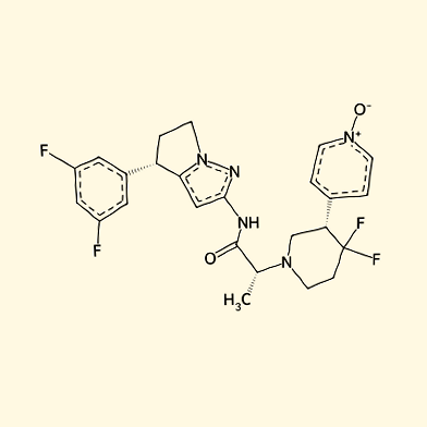 C[C@H](C(=O)Nc1cc2n(n1)CC[C@H]2c1cc(F)cc(F)c1)N1CCC(F)(F)[C@@H](c2cc[n+]([O-])cc2)C1